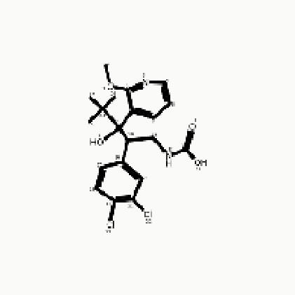 COc1ncccc1C(O)(C(CNC(=O)O)c1ccc(Cl)c(Cl)c1)C(C)(C)C